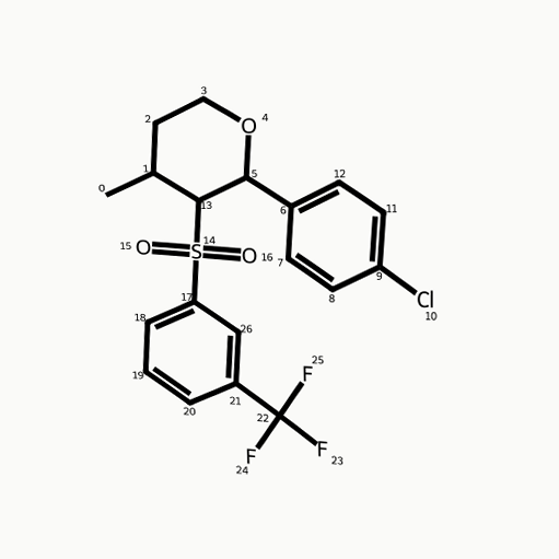 CC1CCOC(c2ccc(Cl)cc2)C1S(=O)(=O)c1cccc(C(F)(F)F)c1